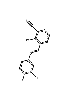 N#Cc1nccc(C=Nc2ccc(F)c(Cl)c2)c1O